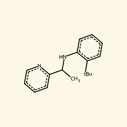 CC(Nc1ccccc1C(C)(C)C)c1ccccn1